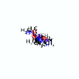 C=CCNC(=O)C(=O)C(CCCC)NC(=O)[C@@H]1[C@@H]2[C@H](CN1C(=O)[C@@H](NC(=O)N[C@H](C(=O)NCC1CC1)C(C)C)C(C)(C)C)C2(C)C